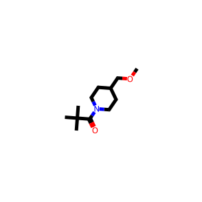 COCC1CCN(C(=O)C(C)(C)C)CC1